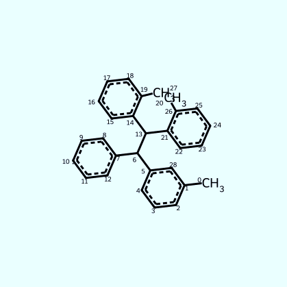 Cc1cccc(C(c2cc[c]cc2)C(c2ccccc2C)c2ccccc2C)c1